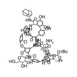 CC(C)C[C@@H](NC(=O)OC(C)(C)C)C(=O)N[C@H]1C(=O)N[C@@H](CC(N)=O)C(=O)N[C@H]2C(=O)N[C@H]3C(=O)N[C@@H](C(=O)NC(C(=O)NC4C5CC6CC(C5)CC4C6)c4cc(O)cc(O)c4-c4cc3ccc4O)[C@H](O)c3ccc(c(Cl)c3)Oc3cc2cc(c3OC2OC(CO)C(O)C(O)C2O)Oc2ccc(cc2Cl)[C@H]1O